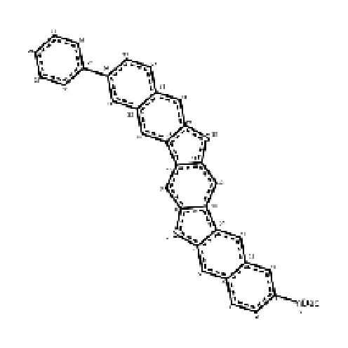 CCCCCCCCCCc1ccc2cc3sc4cc5c(cc4c3cc2c1)sc1cc2ccc(-c3ccccc3)cc2cc15